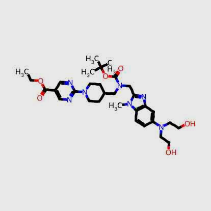 CCOC(=O)c1cnc(N2CCC(CN(Cc3nc4cc(N(CCO)CCO)ccc4n3C)C(=O)OC(C)(C)C)CC2)nc1